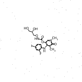 Cc1c(Nc2ccc(I)cc2F)c(OC(=O)NOC[C@H](O)CO)cn(C)c1=O